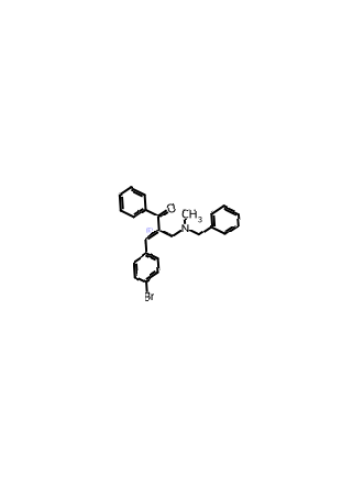 CN(C/C(=C\c1ccc(Br)cc1)C(=O)c1ccccc1)Cc1ccccc1